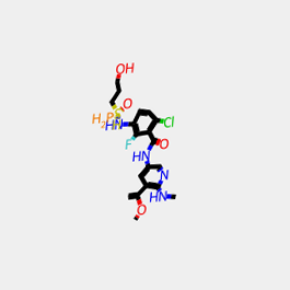 C=C(OC)c1cc(NC(=O)c2c(Cl)ccc(N[SH](=O)(P)CCCO)c2F)cnc1NC